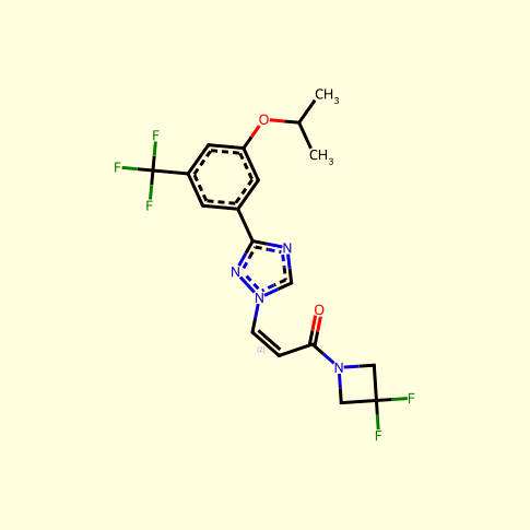 CC(C)Oc1cc(-c2ncn(/C=C\C(=O)N3CC(F)(F)C3)n2)cc(C(F)(F)F)c1